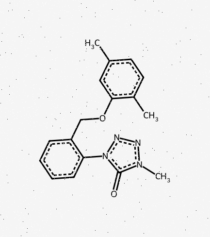 Cc1ccc(C)c(OCc2ccccc2-n2nnn(C)c2=O)c1